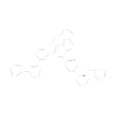 c1cc(-c2cc(-c3ccc(-c4cccc5c4oc4ccccc45)cc3)c3ccc4cccc5ccc2c3c45)cc(-c2cccc3c2oc2ccccc23)c1